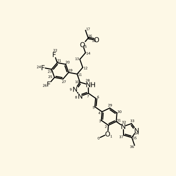 COc1cc(C=Cc2nnc(C(CCCOC(C)=O)c3cc(F)c(F)c(F)c3)[nH]2)ccc1-n1cnc(C)c1